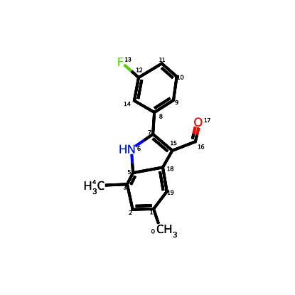 Cc1cc(C)c2[nH]c(-c3cccc(F)c3)c(C=O)c2c1